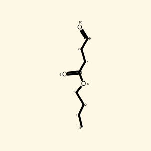 CCCCOC(=O)CCC=O